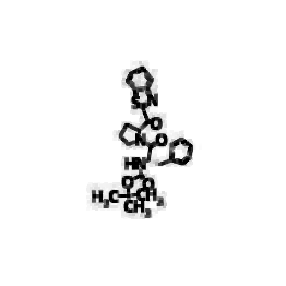 CC(C)(C)OC(=O)N[C@@H](Cc1ccccc1)C(=O)N1CCC[C@H]1C(=O)c1nc2ccccc2s1